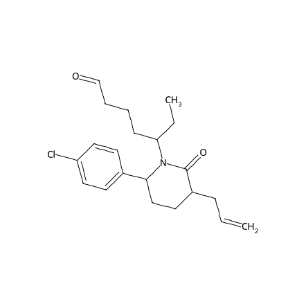 C=CCC1CCC(c2ccc(Cl)cc2)N(C(CC)CCCC=O)C1=O